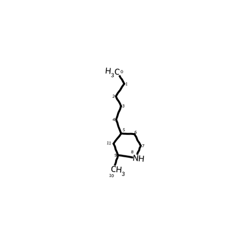 CCCC[CH]C1CCNC(C)C1